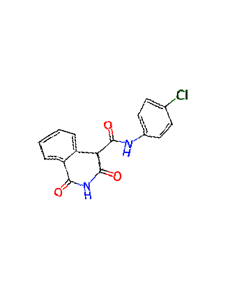 O=C1NC(=O)C(C(=O)Nc2ccc(Cl)cc2)c2ccccc21